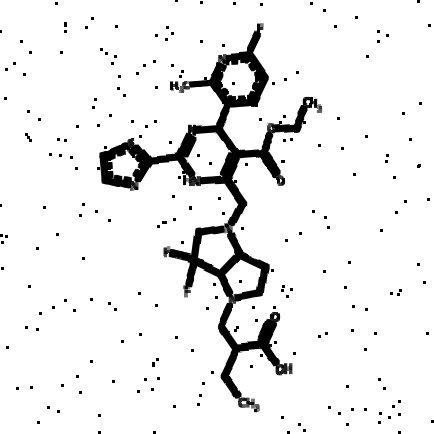 CCOC(=O)C1=C(CN2CC(F)(F)C3C2CCN3CC(CC)C(=O)O)NC(c2nccs2)=NC1c1ccc(F)nc1C